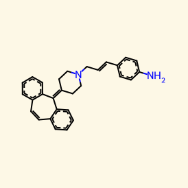 Nc1ccc(C=CCN2CCC(=C3c4ccccc4C=Cc4ccccc43)CC2)cc1